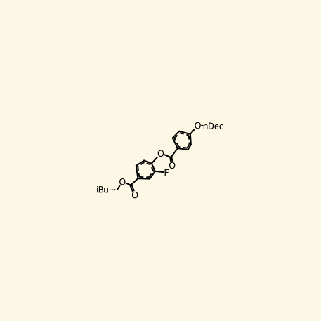 CCCCCCCCCCOc1ccc(C(=O)Oc2ccc(C(=O)OC[C@@H](C)CC)cc2F)cc1